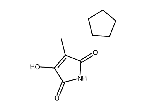 C1CCCC1.CC1=C(O)C(=O)NC1=O